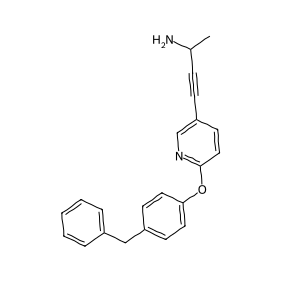 CC(N)C#Cc1ccc(Oc2ccc(Cc3ccccc3)cc2)nc1